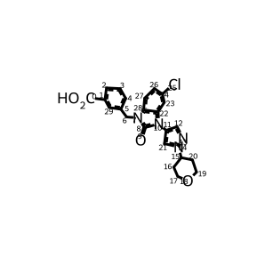 O=C(O)c1cccc(Cn2c(=O)n(-c3cnn(C4CCOCC4)c3)c3cc(Cl)ccc32)c1